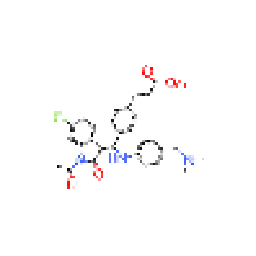 CC(=O)N1C(=O)/C(=C(\Nc2ccc(CN(C)C)cc2)c2ccc(CCC(=O)O)cc2)c2ccc(F)cc21